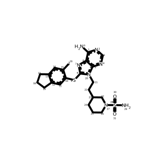 Nc1ncnc2c1nc(Sc1cc3c(cc1I)CCC3)n2CCC1CCCN(S(N)(=O)=O)C1